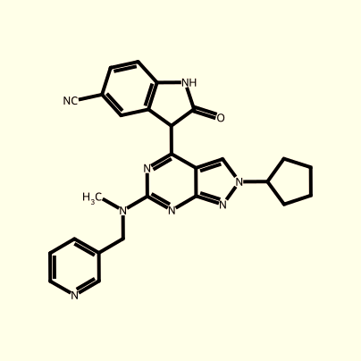 CN(Cc1cccnc1)c1nc(C2C(=O)Nc3ccc(C#N)cc32)c2cn(C3CCCC3)nc2n1